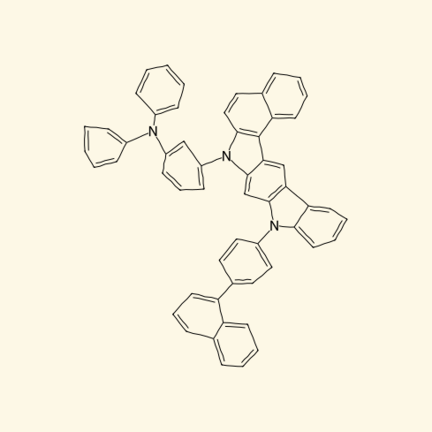 c1ccc(N(c2ccccc2)c2cccc(-n3c4cc5c(cc4c4c6ccccc6ccc43)c3ccccc3n5-c3ccc(-c4cccc5ccccc45)cc3)c2)cc1